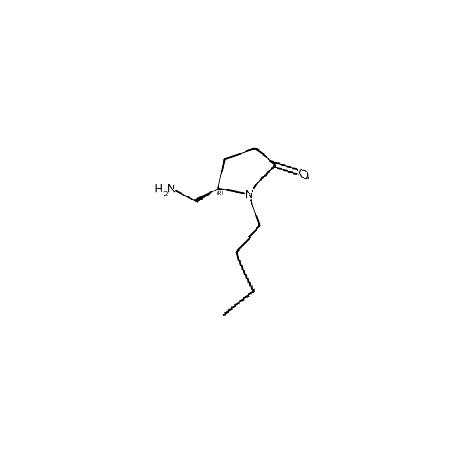 CCCCN1C(=O)CC[C@@H]1CN